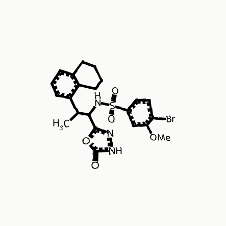 COc1cc(S(=O)(=O)NC(c2n[nH]c(=O)o2)C(C)c2cccc3c2CCCC3)ccc1Br